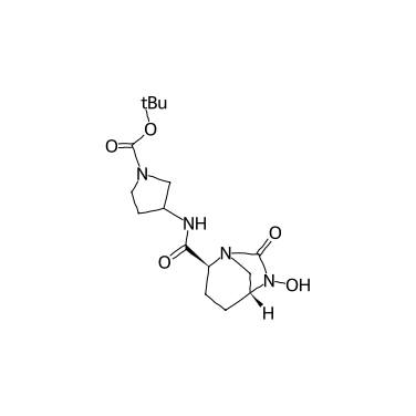 CC(C)(C)OC(=O)N1CCC(NC(=O)[C@@H]2CC[C@@H]3CN2C(=O)N3O)C1